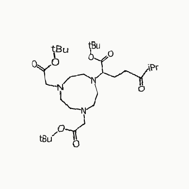 CC(C)C(=O)CCC(C(=O)OC(C)(C)C)N1CCN(CC(=O)OC(C)(C)C)CCN(CC(=O)OC(C)(C)C)CC1